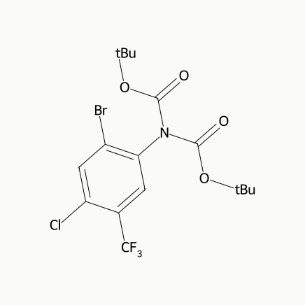 CC(C)(C)OC(=O)N(C(=O)OC(C)(C)C)c1cc(C(F)(F)F)c(Cl)cc1Br